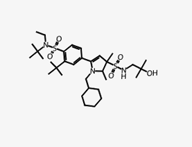 CCN(C(C)(C)C)S(=O)(=O)c1ccc(C2=CC(C)(S(=O)(=O)NCC(C)(C)O)C(C)N2CC2CCCCC2)cc1C(C)(C)C